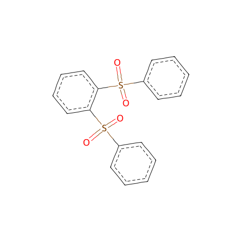 O=S(=O)(c1ccccc1)c1ccccc1S(=O)(=O)c1ccccc1